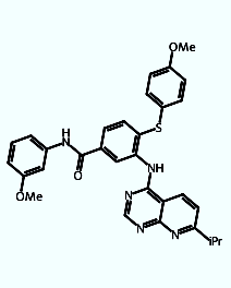 COc1ccc(Sc2ccc(C(=O)Nc3cccc(OC)c3)cc2Nc2ncnc3nc(C(C)C)ccc23)cc1